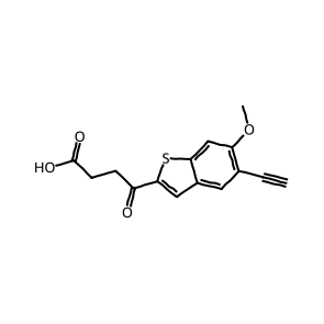 C#Cc1cc2cc(C(=O)CCC(=O)O)sc2cc1OC